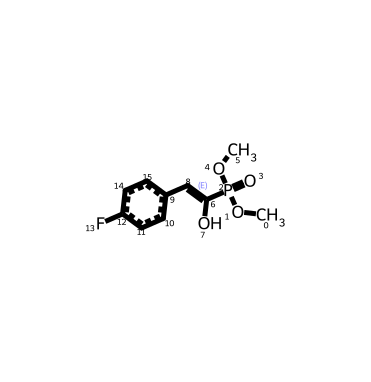 COP(=O)(OC)/C(O)=C/c1ccc(F)cc1